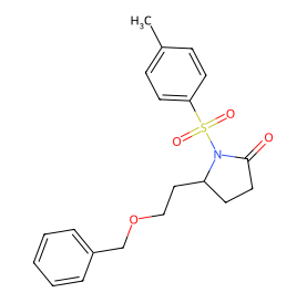 Cc1ccc(S(=O)(=O)N2C(=O)CCC2CCOCc2ccccc2)cc1